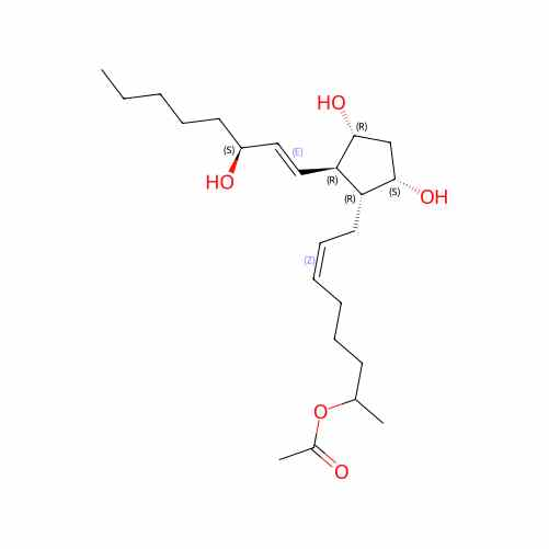 CCCCC[C@H](O)/C=C/[C@@H]1[C@@H](C/C=C\CCCC(C)OC(C)=O)[C@@H](O)C[C@H]1O